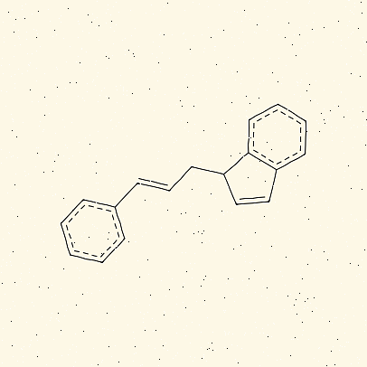 C(=Cc1ccccc1)CC1C=Cc2ccccc21